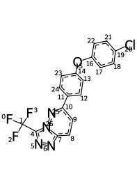 FC(F)(F)c1nnc2ccc(-c3ccc(Oc4ccc(Cl)cc4)cc3)nn12